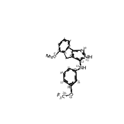 COc1cccc2c1Cc1c-2n[nH]c1Nc1cccc(OC(F)(F)F)c1